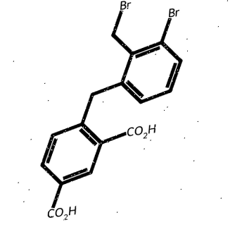 O=C(O)c1ccc(Cc2cccc(Br)c2CBr)c(C(=O)O)c1